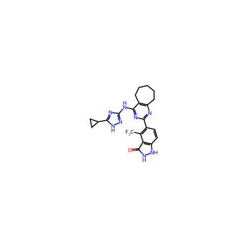 O=c1[nH][nH]c2ccc(-c3nc4c(c(Nc5n[nH]c(C6CC6)n5)n3)CCCCC4)c(C(F)(F)F)c12